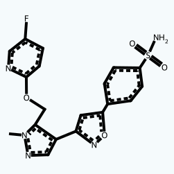 Cn1ncc(-c2cc(-c3ccc(S(N)(=O)=O)cc3)on2)c1COc1ccc(F)cn1